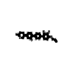 C=CCOc1ccc(-c2ccc(-c3ccc(C4CCC(C)OC4)cc3F)cc2)c(F)c1F